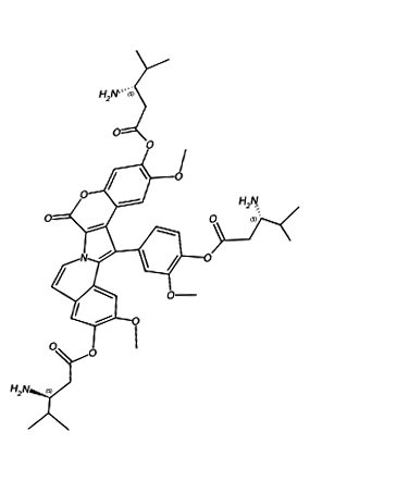 COc1cc(-c2c3c4cc(OC)c(OC(=O)C[C@H](N)C(C)C)cc4oc(=O)c3n3ccc4cc(OC(=O)C[C@H](N)C(C)C)c(OC)cc4c23)ccc1OC(=O)C[C@H](N)C(C)C